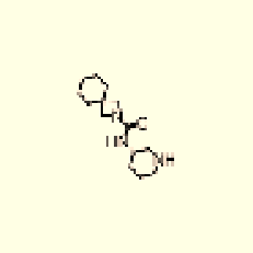 O=C(N[C@H]1CCCNC1)N1CC2(CCCCC2)C1